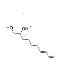 C=CC=CCCCCC(O)CO